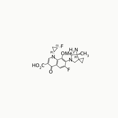 COc1c(N2CC3(CC3)[C@@](C)(N)C2)c(F)cc2c(=O)c(C(=O)O)cn([C@@H]3C[C@@H]3F)c12